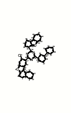 Clc1cc2oc3ccc4ccccc4c3c2cc1-c1nc(-c2cccc(-c3ccccc3)c2)nc(-c2cccc3c2oc2ccccc23)n1